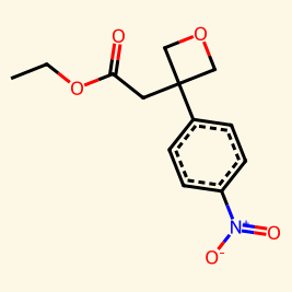 CCOC(=O)CC1(c2ccc([N+](=O)[O-])cc2)COC1